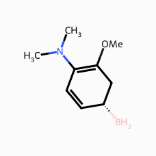 B[C@@H]1C=CC(N(C)C)=C(OC)C1